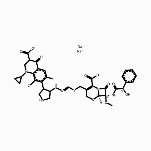 CO[C@]1(NC(=O)[C@H](O)c2ccccc2)C(=O)N2C(C(=O)[O-])=C(CSC=NNC3CNCC3c3c(F)cc4c(c3Cl)N(C3CC3)CC(C(=O)[O-])C4=O)CS[C@@H]21.[Na+].[Na+]